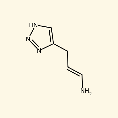 NC=CCc1c[nH]nn1